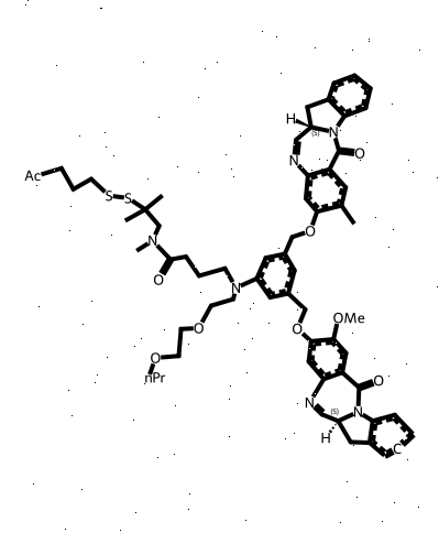 CCCOCCOCCN(CCCC(=O)N(C)CC(C)(C)SSCCCC(C)=O)c1cc(COc2cc3c(cc2C)C(=O)N2c4ccccc4C[C@H]2C=N3)cc(COc2cc3c(cc2OC)C(=O)N2c4ccccc4C[C@H]2C=N3)c1